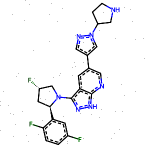 Fc1ccc(F)c([C@H]2C[C@H](F)CN2c2n[nH]c3ncc(-c4cnn(C5CCNC5)c4)cc23)c1